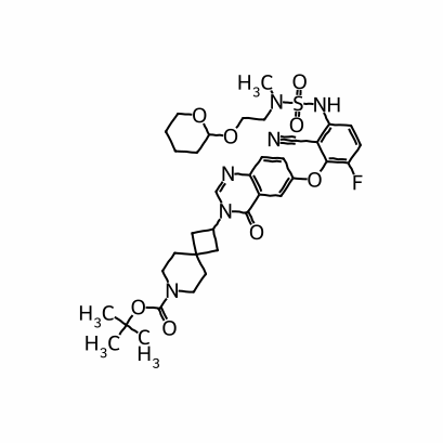 CN(CCOC1CCCCO1)S(=O)(=O)Nc1ccc(F)c(Oc2ccc3ncn(C4CC5(CCN(C(=O)OC(C)(C)C)CC5)C4)c(=O)c3c2)c1C#N